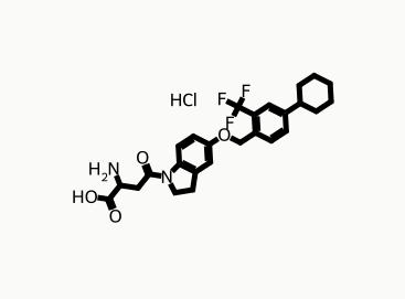 Cl.NC(CC(=O)N1CCc2cc(OCc3ccc(C4CCCCC4)cc3C(F)(F)F)ccc21)C(=O)O